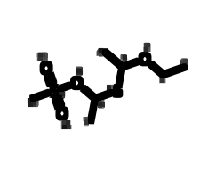 CCOC(C)SC(C)OS(C)(=O)=O